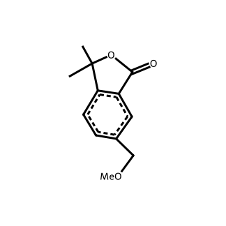 COCc1ccc2c(c1)C(=O)OC2(C)C